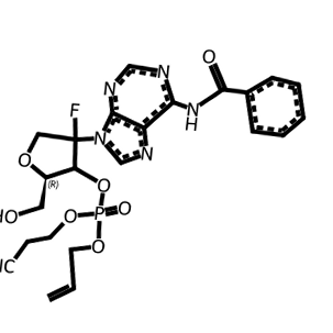 C=CCOP(=O)(OCCC#N)OC1[C@@H](CO)OCC1(F)n1cnc2c(NC(=O)c3ccccc3)ncnc21